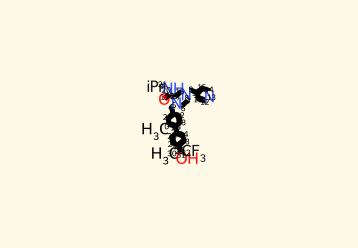 Cc1cc(CN2CCN(Cc3ccncc3)C[C@H]2C(=O)NC(C)C)ccc1-c1ccc(C(C)(O)C(F)(F)F)cc1